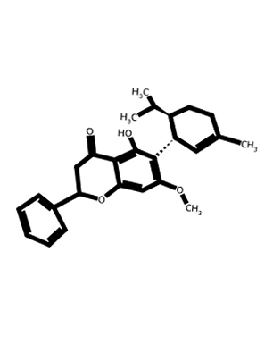 COc1cc2c(c(O)c1[C@H]1C=C(C)CC[C@@H]1C(C)C)C(=O)CC(c1ccccc1)O2